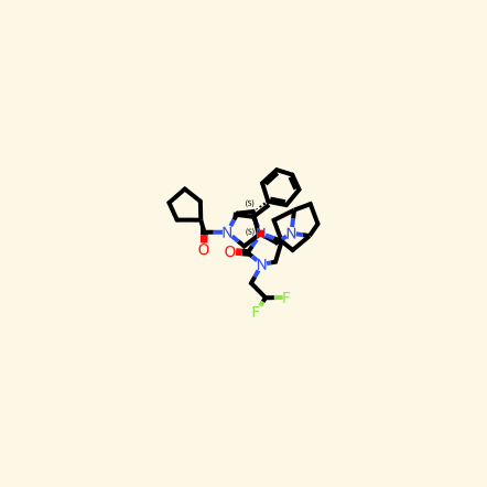 CC(C)N1C(=O)N(CC(F)F)CC12CC1CCC(C2)N1C[C@H]1CN(C(=O)C2CCCC2)C[C@@H]1c1ccccc1